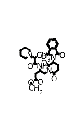 COC(=O)CC(CN1C(=O)CC[C@H](N2C(=O)c3ccccc3C2=O)C1=O)NC(=O)C(C)N1CCCCC1